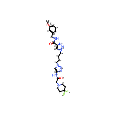 O=C(CN1CCC(F)(F)CC1)Nc1cn(CCCCn2cc(C(=O)NCc3cccc(OC(F)(F)F)c3)nn2)nn1